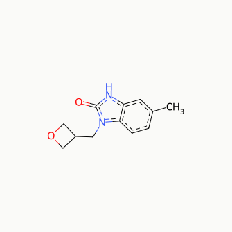 Cc1ccc2c(c1)[nH]c(=O)n2CC1COC1